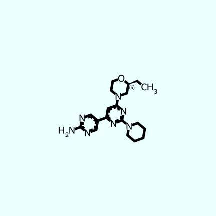 CC[C@H]1CN(c2cc(-c3cnc(N)nc3)nc(N3CCCCC3)n2)CCO1